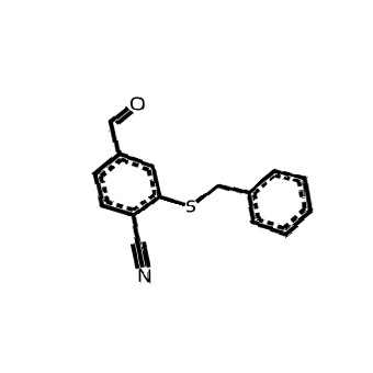 N#Cc1ccc(C=O)cc1SCc1ccccc1